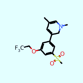 CC1=CN(C)CC(c2cc(OCC(F)(F)F)cc(S(C)(=O)=O)c2)=C1